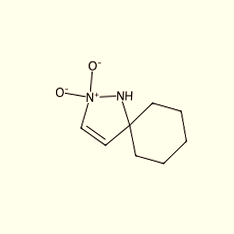 [O-][N+]1([O-])C=CC2(CCCCC2)N1